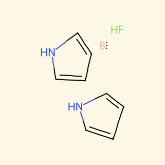 F.[B].c1cc[nH]c1.c1cc[nH]c1